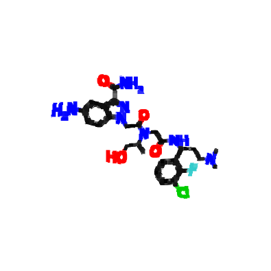 CC(CO)N(CC(=O)NC(CCN(C)C)c1cccc(Cl)c1F)C(=O)Cn1nc(C(N)=O)c2cc(N)ccc21